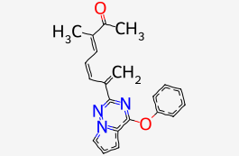 C=C(/C=C\C=C(/C)C(C)=O)c1nc(Oc2ccccc2)c2cccn2n1